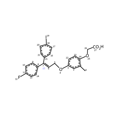 Cc1cc(OC/C=C(/c2ccc(F)cc2)c2ccc(I)cc2)ccc1OCC(=O)O